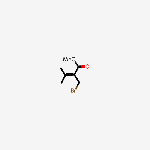 COC(=O)C(CBr)=C(C)C